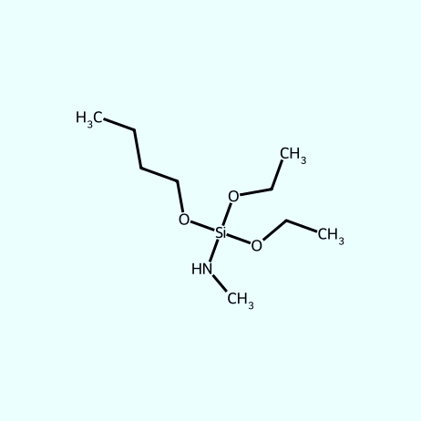 CCCCO[Si](NC)(OCC)OCC